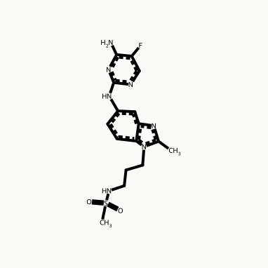 Cc1nc2cc(Nc3ncc(F)c(N)n3)ccc2n1CCCNS(C)(=O)=O